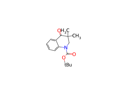 CC(C)(C)OC(=O)N1CC(C)(C)C(=O)c2ccccc21